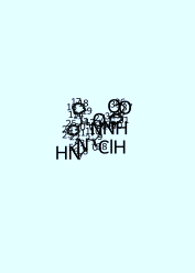 C=C(CN1CCNCC1)CN(CCC(c1ccccc1)c1ccccc1)C(=O)Nc1ccc2c(c1)OCO2.Cl